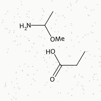 CCC(=O)O.COC(C)N